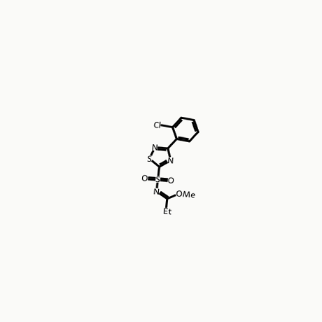 CCC(=NS(=O)(=O)c1nc(-c2ccccc2Cl)ns1)OC